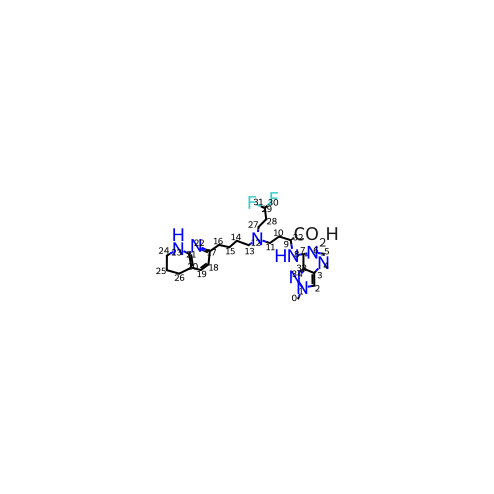 Cn1cc2ncnc(N[C@@H](CCN(CCCCc3ccc4c(n3)NCCC4)CCC(F)F)C(=O)O)c2n1